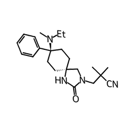 CCN(C)[C@]1(c2ccccc2)CC[C@]2(CC1)CN(CC(C)(C)C#N)C(=O)N2